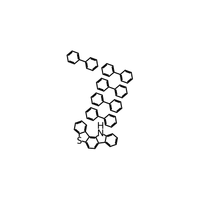 c1ccc(-c2ccccc2)cc1.c1ccc(-c2ccccc2)cc1.c1ccc(-c2ccccc2)cc1.c1ccc(-c2ccccc2)cc1.c1ccc(-c2ccccc2)cc1.c1ccc2c(c1)[nH]c1c2ccc2sc3ccccc3c21